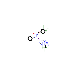 O=C(C[C@@H](Cc1cc(F)c(F)cc1F)N(Cc1ccccc1)C(=O)O)N1CCn2c(nnc2C(F)(F)F)C1